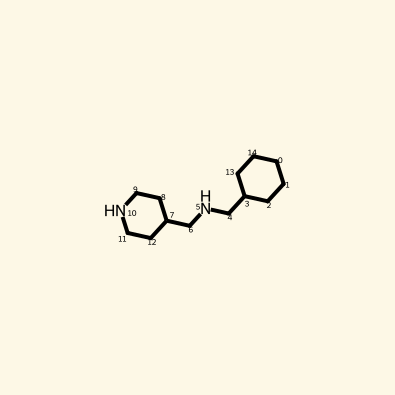 C1CCC(CNCC2CCNCC2)CC1